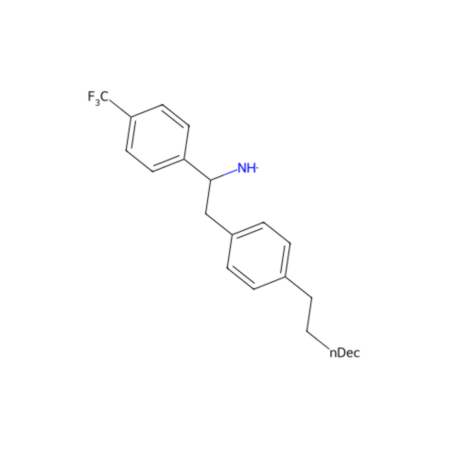 CCCCCCCCCCCCc1ccc(CC([NH])c2ccc(C(F)(F)F)cc2)cc1